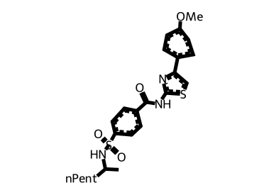 CCCCCC(C)NS(=O)(=O)c1ccc(C(=O)Nc2nc(-c3ccc(OC)cc3)cs2)cc1